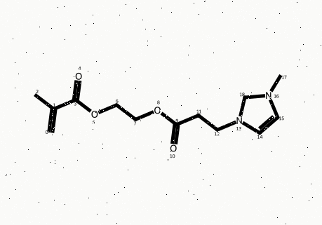 C=C(C)C(=O)OCCOC(=O)CCN1C=CN(C)C1